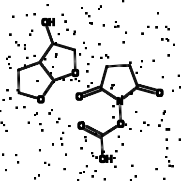 O=C(O)ON1C(=O)CCC1=O.OC1COC2OCCC12